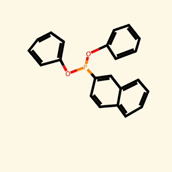 c1ccc(OP(Oc2ccccc2)c2ccc3ccccc3c2)cc1